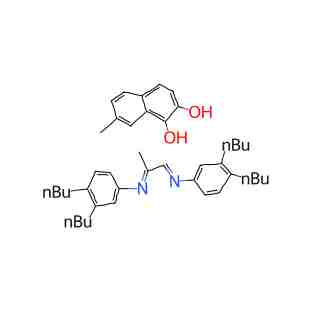 CCCCc1ccc(N=CC(C)=Nc2ccc(CCCC)c(CCCC)c2)cc1CCCC.Cc1ccc2ccc(O)c(O)c2c1